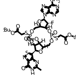 CO[C@H]1[C@H]2O[P@@](=O)(SCC(=O)OC(C)(C)C)OC[C@H]3O[C@@H](n4cnc5c(N)ncnc54)[C@H](F)[C@@H]3O[P@@](=O)(SCC(=O)OC(C)(C)C)OC[C@H]1O[C@H]2c1snc2c(=O)[nH]c(C)nc12